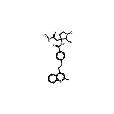 Cc1cc(COc2ccc(C(=O)NC3(CC(=O)NO)CC[S+]([O-])C3O)cc2)c2ccccc2n1